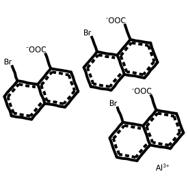 O=C([O-])c1cccc2cccc(Br)c12.O=C([O-])c1cccc2cccc(Br)c12.O=C([O-])c1cccc2cccc(Br)c12.[Al+3]